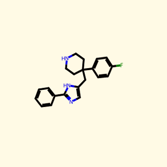 Fc1ccc(C2(Cc3cnc(-c4ccccc4)[nH]3)CCNCC2)cc1